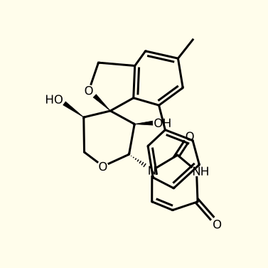 Cc1cc2c(c(-c3ccccc3)c1)[C@@]1(OC2)[C@H](O)CO[C@@H](n2ccc(=O)[nH]c2=O)[C@@H]1O